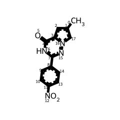 Cc1cc2c(=O)[nH]c(-c3ccc([N+](=O)[O-])cc3)nn2c1